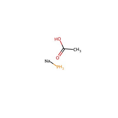 CC(=O)O.[Na][PH2]